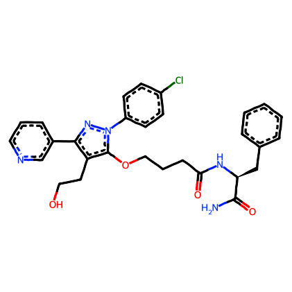 NC(=O)[C@H](Cc1ccccc1)NC(=O)CCCOc1c(CCO)c(-c2cccnc2)nn1-c1ccc(Cl)cc1